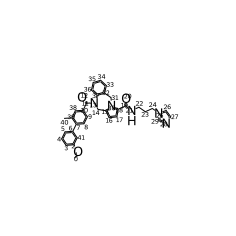 COc1cccc(-c2ccc(C(=O)N3Cc4ccc(C(=O)NCCCn5ccnc5)n4Cc4ccccc43)cc2C)c1